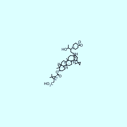 CC(O)C(CN[C@]12CC[C@@H](C3(C)CC3)[C@@H]1[C@H]1CC[C@@H]3[C@@]4(C)CC[C@H](OC(=O)[C@H]5[C@@H](CC(=O)O)C5(C)C)C(C)(C)[C@@H]4CC[C@@]3(C)[C@]1(C)CC2)N1CCS(=O)(=O)CC1